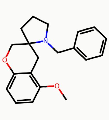 COc1cccc2c1CC1(CCCN1Cc1ccccc1)CO2